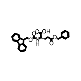 O=C(CC[C@H](NC(=O)OCC1c2ccccc2-c2ccccc21)C(=O)O)OCc1ccccc1